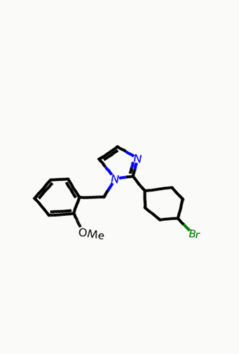 COc1ccccc1Cn1ccnc1C1CCC(Br)CC1